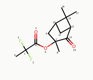 CC(F)(F)C(=O)OC1(C)CC2CC(C1=O)C2(C)C